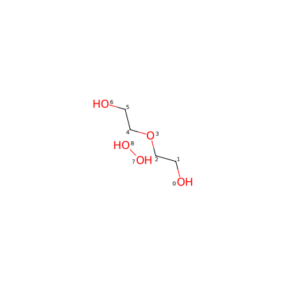 OCCOCCO.OO